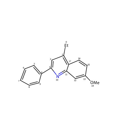 CCc1cc(-c2ccccc2)nc2cc(OC)ccc12